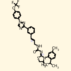 Cc1ccc(C(C)C)c(N2C(=O)CS/C2=N\C(=O)NC/C=C/c2cccc(-c3ncn(-c4ccc(OC(F)(F)F)cc4)n3)c2)c1